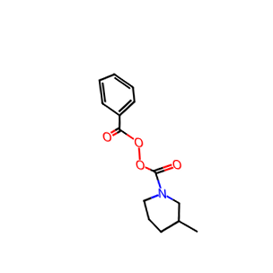 CC1CCCN(C(=O)OOC(=O)c2ccccc2)C1